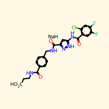 O=C(O)CCNC(=O)c1ccc(CNC(=O)c2cc(NC(=O)c3cc(F)c(F)cc3Cl)[nH]n2)cc1.[NaH]